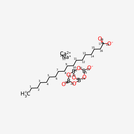 CCCCCCCCCCCCCCCCCC(=O)[O-].[Ca+2].[Na+].[O-]B1OB2OB([O-])OB(O1)O2